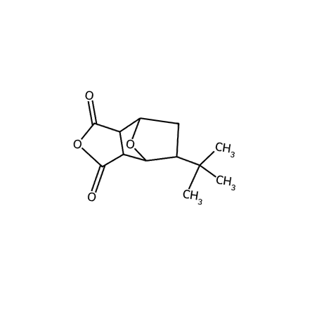 CC(C)(C)C1CC2OC1C1C(=O)OC(=O)C21